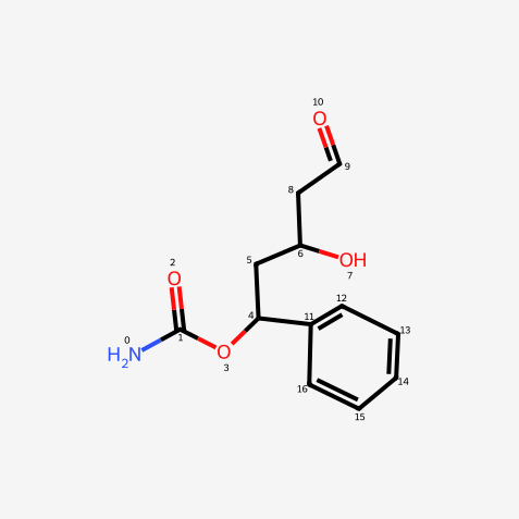 NC(=O)OC(CC(O)CC=O)c1ccccc1